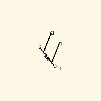 CCCCC(C=CCCCCCCCCCCCCCl)CCOCOCOCCC(C=CCCCCCCCCCCCCCl)CCCC